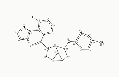 O=C(c1cccc(F)c1-n1nccn1)N1CC2C3CC(Oc4ccc(C(F)(F)F)cn4)C1C32